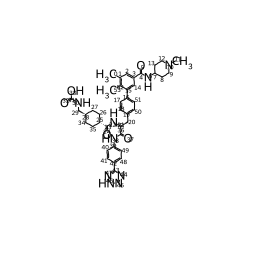 Cc1cc(C(=O)NC2CCN(C)CC2)cc(-c2ccc(C[C@H](NC(=O)[C@H]3CC[C@H](CNC(=O)O)CC3)C(=O)Nc3ccc(-c4nn[nH]n4)cc3)cc2)c1C